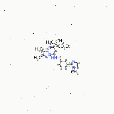 CCOC(=O)C(C)(C)c1cc(NCc2cccc(-c3nccn3C)c2)n2nc(C)c(C)c2n1